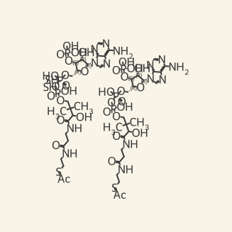 CC(=O)SCCNC(=O)CCNC(=O)C(O)C(C)(C)COP(=O)(O)OP(=O)(O)OC[C@H]1O[C@@H](n2cnc3c(N)ncnc32)[C@H](O)[C@@H]1OP(=O)(O)O.CC(=O)SCCNC(=O)CCNC(=O)C(O)C(C)(C)COP(=O)(O)OP(=O)(O)OC[C@H]1O[C@@H](n2cnc3c(N)ncnc32)[C@H](O)[C@@H]1OP(=O)(O)O.SS